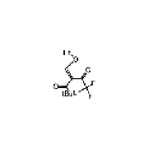 CCOC=C(C(=O)C(C)(C)C)C(=O)C(F)(F)Cl